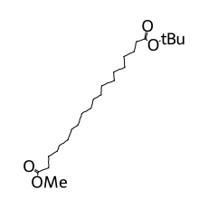 COC(=O)CCCCCCCCCCCCCCCCCCC(=O)OC(C)(C)C